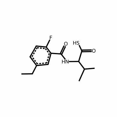 CCc1ccc(F)c(C(=O)NC(C(=O)S)C(C)C)c1